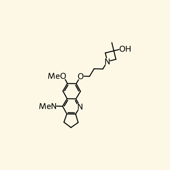 CNc1c2c(nc3cc(OCCCN4CC(C)(O)C4)c(OC)cc13)CCC2